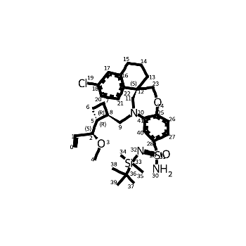 C=C[C@H](OC)[C@@H]1CC[C@H]1CN1C[C@@]2(CCCc3cc(Cl)ccc32)COc2ccc(S(N)(=O)=N[Si](C)(C)C(C)(C)C)cc21